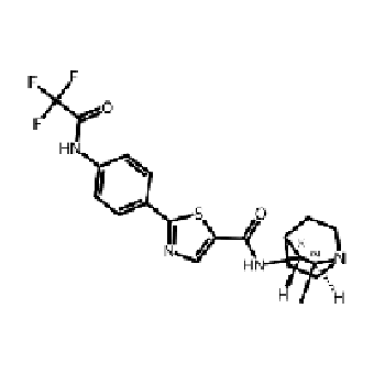 C[C@H]1[C@H](NC(=O)c2cnc(-c3ccc(NC(=O)C(F)(F)F)cc3)s2)C2CCN1CC2